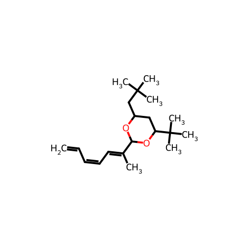 C=C/C=C\C=C(/C)C1OC(CC(C)(C)C)CC(C(C)(C)C)O1